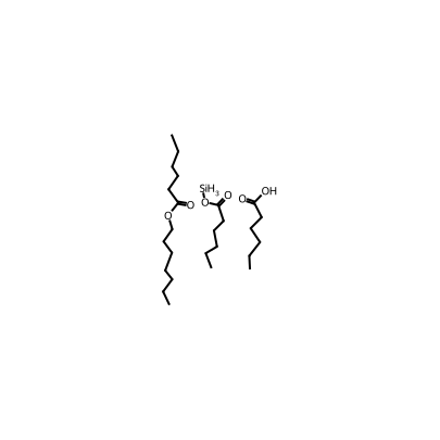 CCCCCC(=O)O.CCCCCC(=O)O[SiH3].CCCCCCCOC(=O)CCCCC